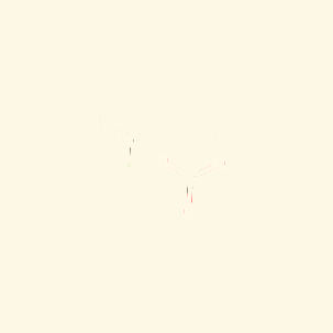 [Cd].[F][Ce]([F])[F].[O]=[Cr](=[O])=[O]